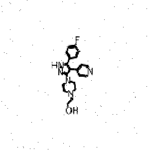 OCCN1CCN(c2n[nH]c(-c3ccc(F)cc3)c2-c2ccncc2)CC1